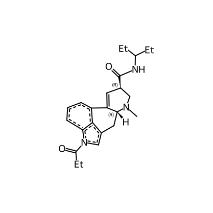 CCC(=O)n1cc2c3c(cccc31)C1=C[C@@H](C(=O)NC(CC)CC)CN(C)[C@@H]1C2